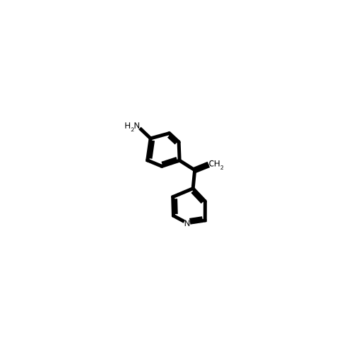 C=C(c1ccncc1)c1ccc(N)cc1